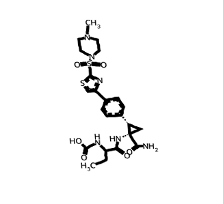 CCC(NC(=O)O)C(=O)N[C@@]1(C(N)=O)C[C@H]1c1ccc(-c2csc(S(=O)(=O)N3CCN(C)CC3)n2)cc1